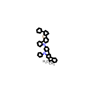 CC1(C)c2ccccc2-c2cc3c4ccc(-n5c6ccccc6c6c7sc8c(-c9ccccc9)cccc8c7ccc65)cc4n(-c4ccccc4)c3cc21